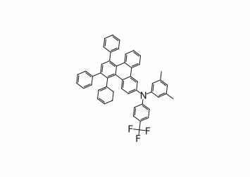 Cc1cc(C)cc(N(c2ccc(C(F)(F)F)cc2)c2ccc3c(c2)c2ccccc2c2c(-c4ccccc4)cc(-c4ccccc4)c(C4=CC=CCC4)c32)c1